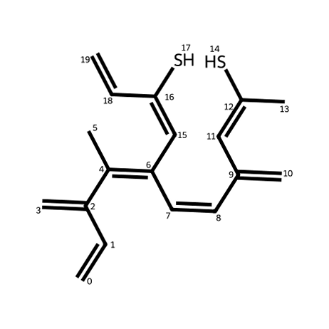 C=CC(=C)/C(C)=C(\C=C/C(=C)/C=C(\C)S)/C=C(/S)C=C